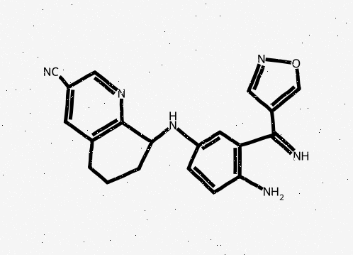 N#Cc1cnc2c(c1)CCCC2Nc1ccc(N)c(C(=N)c2cnoc2)c1